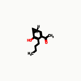 CCCCC1=C(O)C2=C[C@@H]2C=C1C(C)=O